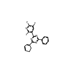 Fc1cc(-c2nc(C3=CC=CCC3)nc(-c3ccccc3)n2)c(F)nc1F